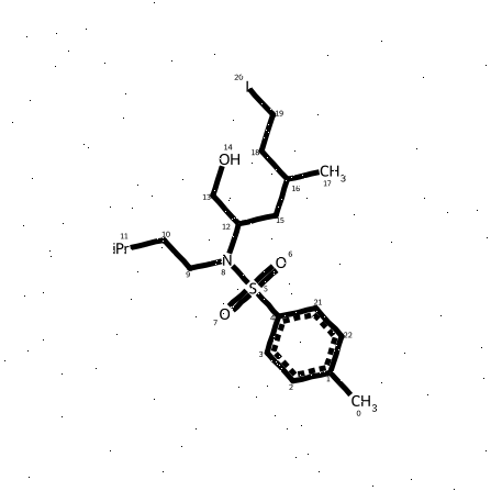 Cc1ccc(S(=O)(=O)N(CCC(C)C)C(CO)CC(C)CCI)cc1